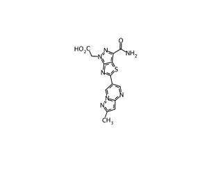 Cc1cc2ncc(-c3nc4c(s3)c(C(N)=O)nn4CC(=O)O)cn2n1